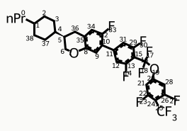 CCCC1CCC([C@@H]2COc3cc(-c4cc(F)c(C(F)(F)Oc5cc(F)c(C(F)(F)F)c(F)c5)c(F)c4)c(F)cc3C2)CC1